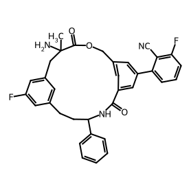 CC1(N)Cc2cc(F)cc(c2)CCC(c2ccccc2)NC(=O)c2cc(cc(-c3cccc(F)c3C#N)c2)COC1=O